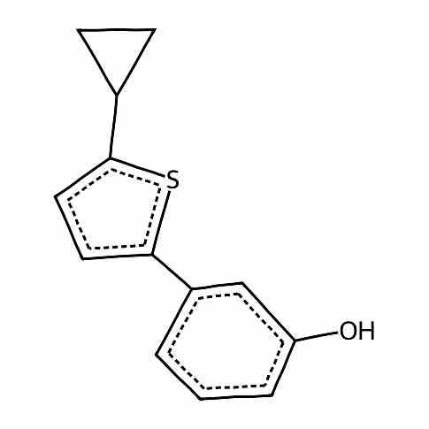 Oc1cccc(-c2ccc(C3CC3)s2)c1